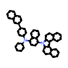 c1ccc(N(c2ccc(-c3ccc4ccccc4c3)cc2)c2ccc(-n3c4ccc5ccccc5c4c4c5ccccc5ccc43)c3ccccc23)cc1